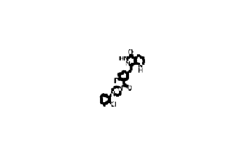 O=C(c1cc(Cc2n[nH]c(=O)c3c2NCCC3)ccc1F)N1CCN(c2ccccc2Cl)CC1